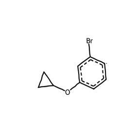 Brc1[c]ccc(OC2CC2)c1